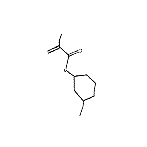 C=C(C)C(=O)OC1CCCC(C)C1